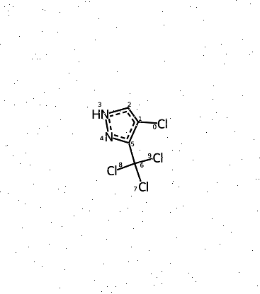 Clc1c[nH]nc1C(Cl)(Cl)Cl